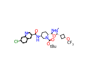 CN1N=C([C@H]2CC[C@H](NC(=O)c3cnc4cc(Cl)ccc4c3)CN2C(=O)OC(C)(C)C)OC1[C@H]1C[C@@H](OC(F)(F)F)C1